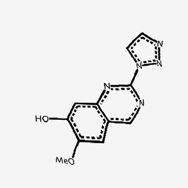 COc1cc2cnc(-n3ccnn3)nc2cc1O